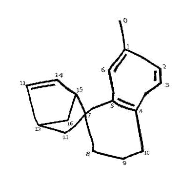 Cc1ccc2c(c1)C1(CCC2)CC2C=CC1C2